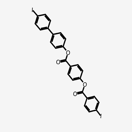 O=C(Oc1ccc(C(=O)Oc2ccc(-c3ccc(I)cc3)cc2)cc1)c1ccc(I)cc1